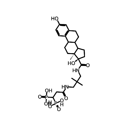 CC(C)(CNC(=O)CC(P(=O)(O)O)P(=O)(O)O)CNC(=O)[C@@]1(O)CCC2C3CCc4cc(O)ccc4C3CC[C@@]21C